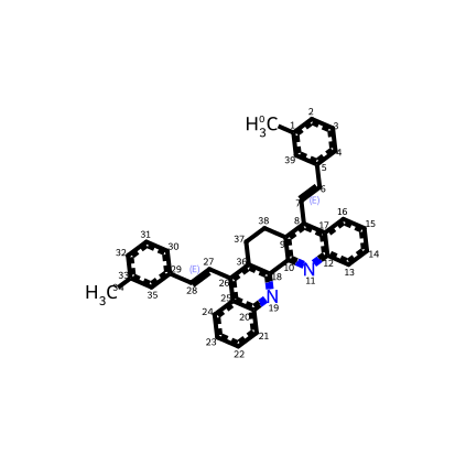 Cc1cccc(/C=C/c2c3c(nc4ccccc24)-c2nc4ccccc4c(/C=C/c4cccc(C)c4)c2CC3)c1